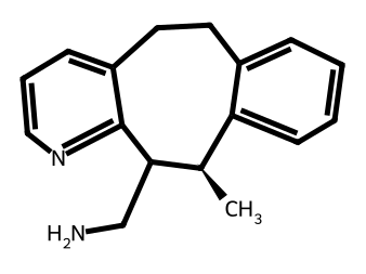 C[C@@H]1c2ccccc2CCc2cccnc2C1CN